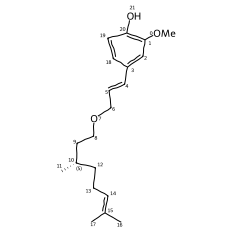 COc1cc(C=CCOCC[C@@H](C)CCC=C(C)C)ccc1O